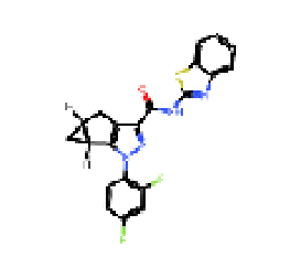 O=C(Nc1nc2ccccc2s1)c1nn(-c2ccc(F)cc2F)c2c1C[C@H]1C[C@@H]21